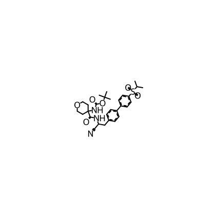 CC(C)S(=O)(=O)c1ccc(-c2ccc(CC(C#N)NC(=O)C3(NC(=O)OC(C)(C)C)CCOCC3)cc2)cc1